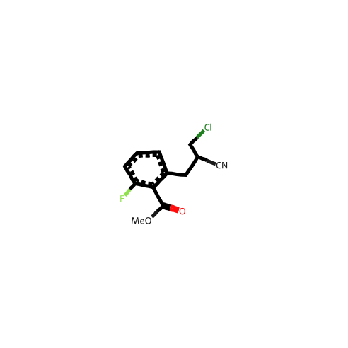 COC(=O)c1c(F)cccc1CC(C#N)CCl